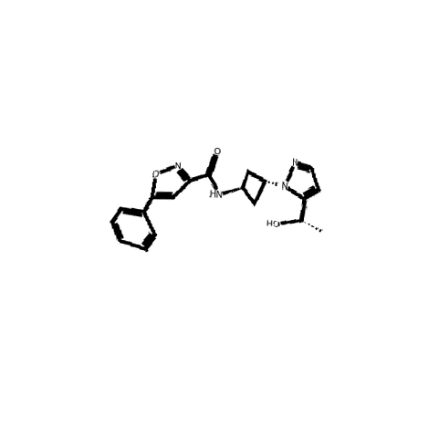 C[C@H](O)c1ccnn1[C@H]1C[C@H](NC(=O)c2cc(-c3ccccc3)on2)C1